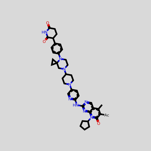 CC(=O)c1c(C)c2cnc(Nc3ccc(N4CCC(N5CCN(c6ccc(C7CCC(=O)NC7=O)cc6)C6(CC6)C5)CC4)cn3)nc2n(C2CCCC2)c1=O